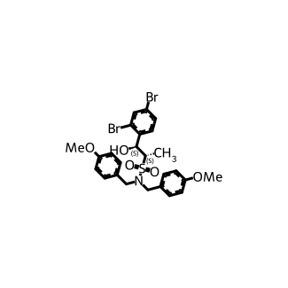 COc1ccc(CN(Cc2ccc(OC)cc2)S(=O)(=O)[C@@H](C)[C@@H](O)c2ccc(Br)cc2Br)cc1